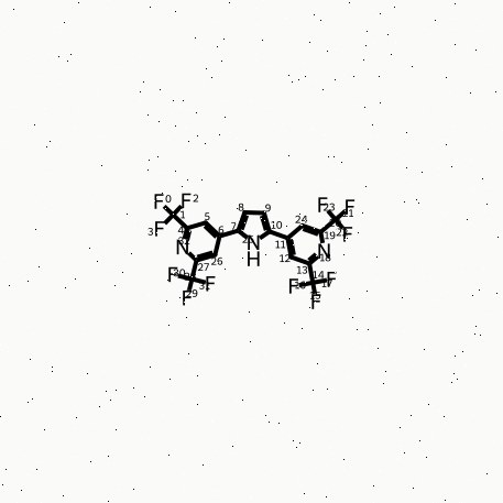 FC(F)(F)c1cc(-c2ccc(-c3cc(C(F)(F)F)nc(C(F)(F)F)c3)[nH]2)cc(C(F)(F)F)n1